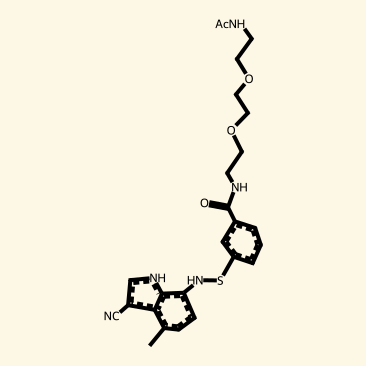 CC(=O)NCCOCCOCCNC(=O)c1cccc(SNc2ccc(C)c3c(C#N)c[nH]c23)c1